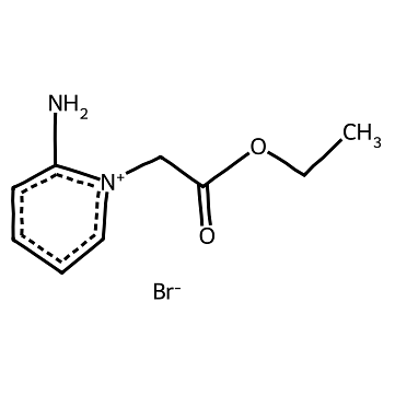 CCOC(=O)C[n+]1ccccc1N.[Br-]